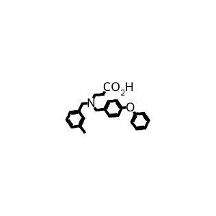 Cc1cccc(CN(CCC(=O)O)Cc2ccc(Oc3ccccc3)cc2)c1